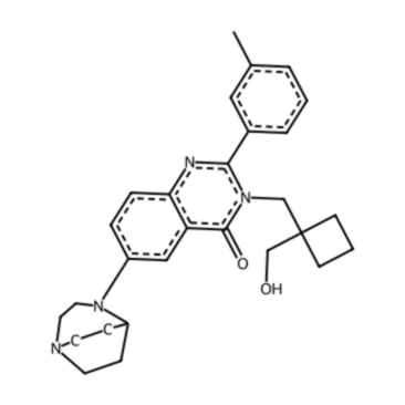 Cc1cccc(-c2nc3ccc(N4CCN5CCC4CC5)cc3c(=O)n2CC2(CO)CCC2)c1